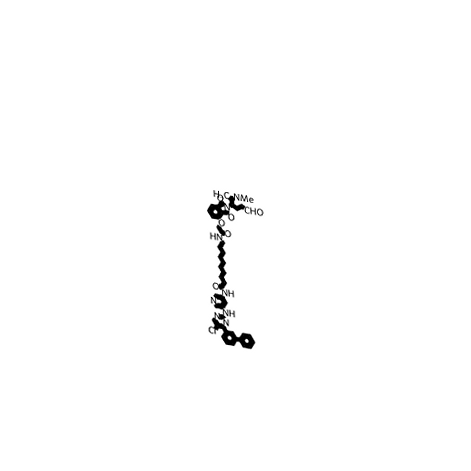 C=C(NC)C(CCC=O)N1C(=O)c2cccc(OCC(=O)NCCCCCCCCCC(=O)Nc3cncc(Nc4ncc(Cl)c(-c5cccc(-c6ccccc6)c5)n4)c3)c2C1=O